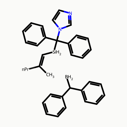 BC(c1ccccc1)c1ccccc1.CCCC(C)=C[SiH2]C(c1ccccc1)(c1ccccc1)n1ccnc1